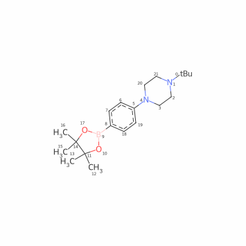 CC(C)(C)N1CCN(c2ccc(B3OC(C)(C)C(C)(C)O3)cc2)CC1